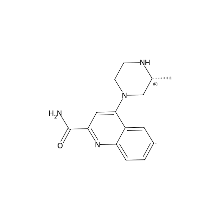 C[C@@H]1CN(c2cc(C(N)=O)nc3cc[c]cc23)CCN1